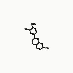 COc1ccc(C2CCc3ccc(O)cc3O2)cc1O